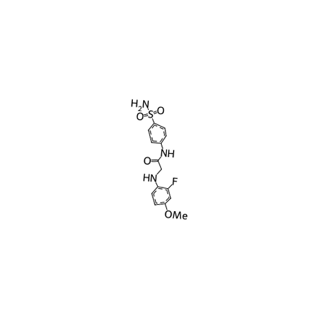 COc1ccc(NCC(=O)Nc2ccc(S(N)(=O)=O)cc2)c(F)c1